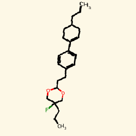 CCCC1CC=C(c2ccc(CCC3OCC(F)(CCC)CO3)cc2)CC1